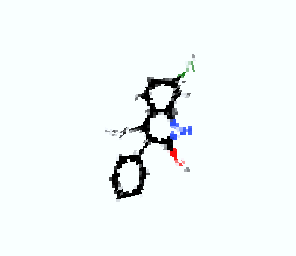 O=C(O)c1c(-c2ccccc2)c(=O)[nH]c2cc(Cl)ccc12